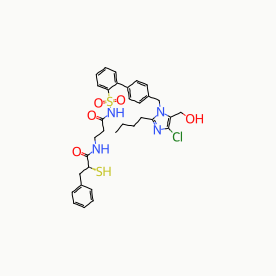 CCCCc1nc(Cl)c(CO)n1Cc1ccc(-c2ccccc2S(=O)(=O)NC(=O)CCNC(=O)[C@@H](S)Cc2ccccc2)cc1